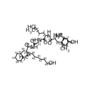 CSCC[C@@H](NC(=O)[C@@H](N)Cc1c(C)cc(O)cc1C)C(=O)NCC(=O)NC(=O)[C@H](CC1CCCCC1)N(C)CCCCCCO.Cl